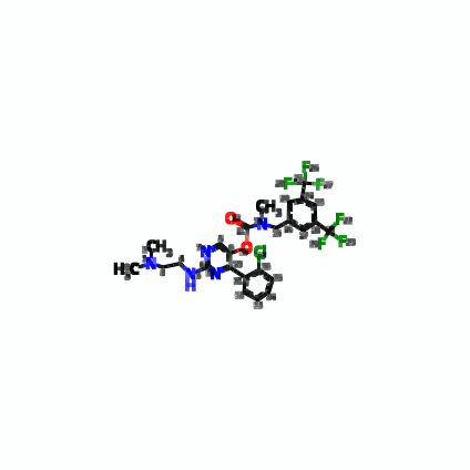 CN(C)CCNc1ncc(OC(=O)N(C)Cc2cc(C(F)(F)F)cc(C(F)(F)F)c2)c(-c2ccccc2Cl)n1